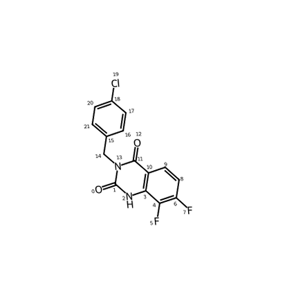 O=c1[nH]c2c(F)c(F)ccc2c(=O)n1Cc1ccc(Cl)cc1